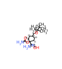 CC(C)(C)[Si](C)(C)OCC1CCC(OC(N)=O)(C(N)=NO)CC1